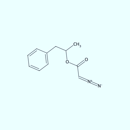 CC(Cc1ccccc1)OC(=O)C=[N+]=[N-]